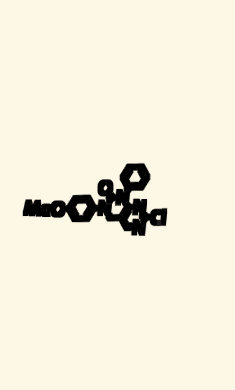 COc1ccc(N2Cc3cnc(Cl)nc3N(c3ccccc3)C2=O)cc1